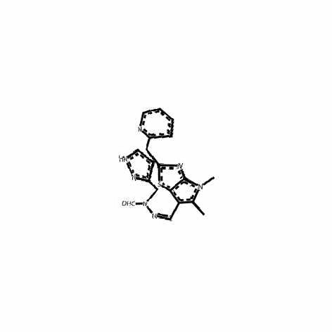 Cc1c(/C=N\N(C=O)Cc2cc[nH]n2)c2sc(Cc3ccccn3)nc2n1C